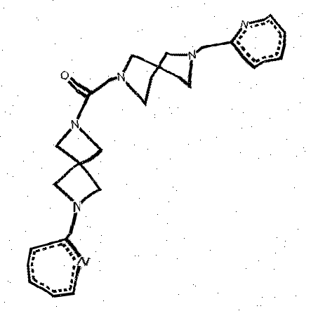 O=C(N1CC2(C1)CN(c1ccccn1)C2)N1CC2(C1)CN(c1ccccn1)C2